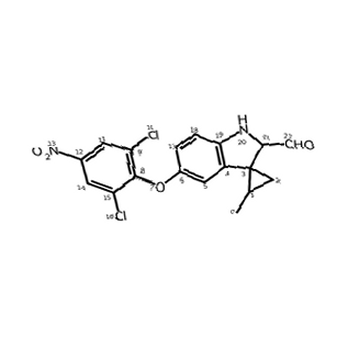 CC1CC12c1cc(Oc3c(Cl)cc([N+](=O)[O-])cc3Cl)ccc1NC2C=O